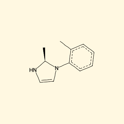 Cc1ccccc1N1C=CN[C@H]1C